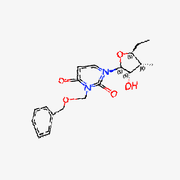 CC[C@@H]1O[C@H](n2ccc(=O)n(COCc3ccccc3)c2=O)[C@@H](O)[C@H]1C